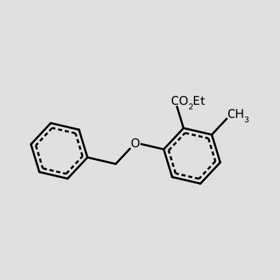 CCOC(=O)c1c(C)cccc1OCc1ccccc1